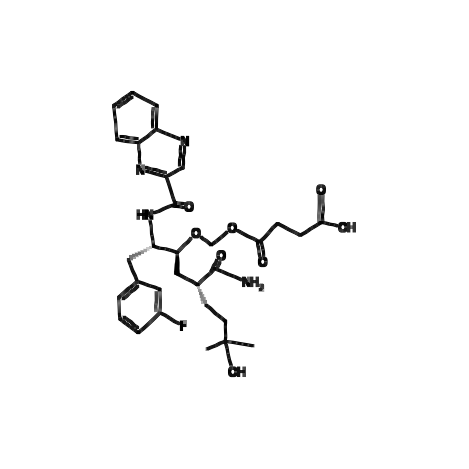 CC(C)(O)CC[C@H](C[C@H](OCOC(=O)CCC(=O)O)[C@H](Cc1cccc(F)c1)NC(=O)c1cnc2ccccc2n1)C(N)=O